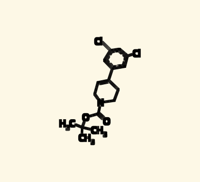 CC(C)(C)OC(=O)N1CC=C(c2cc(Cl)cc(Cl)c2)CC1